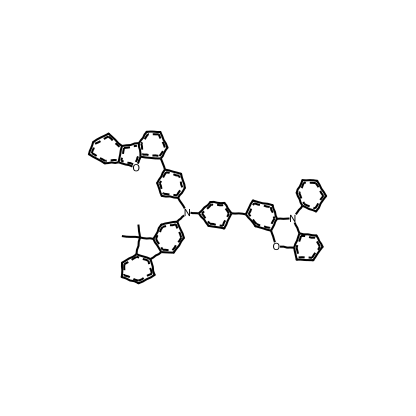 CC1(C)c2ccccc2-c2ccc(N(c3ccc(-c4ccc5c(c4)Oc4ccccc4N5c4ccccc4)cc3)c3ccc(-c4cccc5c4oc4ccccc45)cc3)cc21